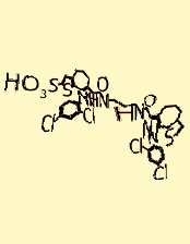 O=C(NCCCNC(=O)c1nn(-c2ccc(Cl)cc2Cl)c2c1CCCC1C=CSC21)c1nn(-c2ccc(Cl)cc2Cl)c2c1CCCc1cc(S(=O)(=O)O)sc1-2